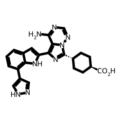 Nc1ncnn2c1c(-c1cc3cccc(-c4cn[nH]c4)c3[nH]1)nc2[C@H]1CC[C@H](C(=O)O)CC1